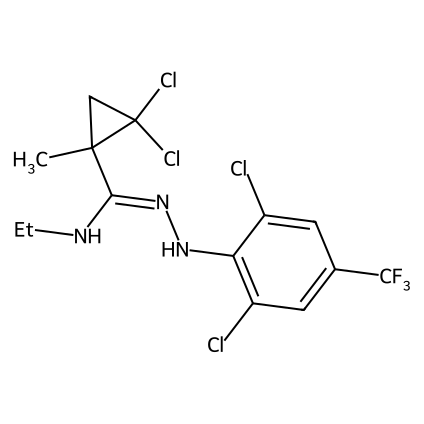 CCNC(=NNc1c(Cl)cc(C(F)(F)F)cc1Cl)C1(C)CC1(Cl)Cl